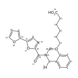 [2H]C(c1ccccc1OCCCCCC(=O)O)N(C(=O)c1ncc(-c2ccco2)o1)C(C)C